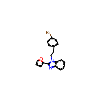 Brc1ccc(CCn2c(-c3ccco3)nc3ccccc32)cc1